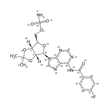 CC1(C)O[C@@H]2[C@H](O1)[C@@H](COS(N)(=O)=O)O[C@H]2n1cnc2c(NC(=O)c3ccc(F)cc3)ncnc21